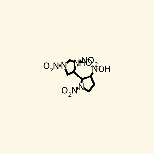 O=[N+]([O-])N1CC(C2C(N(O)O)CCN2[N+](=O)[O-])N([N+](=O)[O-])C1